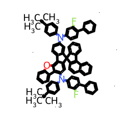 CC(C)(C)c1ccc(N(c2ccc(-c3ccccc3)c(F)c2)c2ccc3c(c2)C2(c4ccccc4-c4c2ccc2ccccc42)c2cc(N(c4ccc(C(C)(C)C)cc4)c4ccc(-c5ccccc5)c(F)c4)c4c(oc5ccccc54)c2-3)cc1